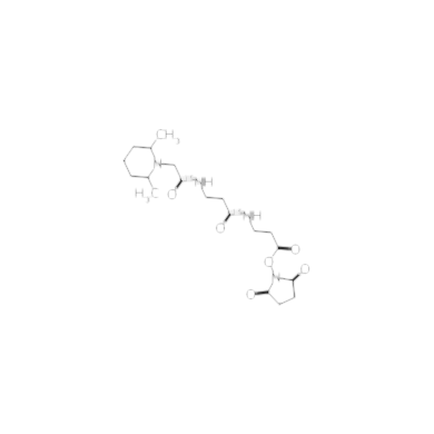 CC1CCCC(C)N1CC(=O)[15NH]CCC(=O)[15NH]CCC(=O)ON1C(=O)CCC1=O